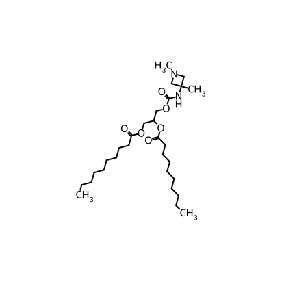 CCCCCCCCCC(=O)OCC(COC(=O)NC1(C)CN(C)C1)OC(=O)CCCCCCCCC